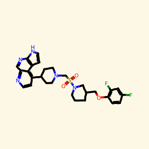 O=S(=O)(CN1CCC(c2ccnc3cnc4[nH]ccc4c23)CC1)N1CCCC(COc2ccc(F)cc2F)C1